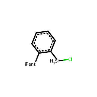 CCCC(C)c1ccccc1[SiH2]Cl